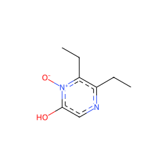 CCc1ncc(O)[n+]([O-])c1CC